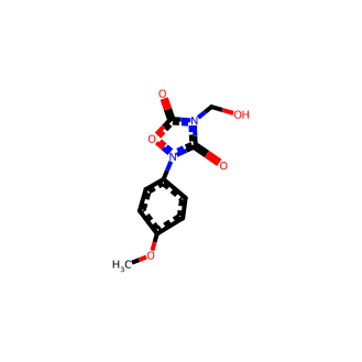 COc1ccc(-n2oc(=O)n(CO)c2=O)cc1